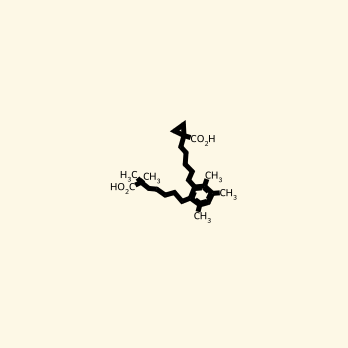 Cc1cc(C)c(CCCCCC(C)(C)C(=O)O)c(CCCCCC2(C(=O)O)CC2)c1C